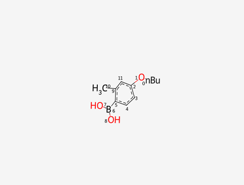 CCCCOc1ccc(B(O)O)c(C)c1